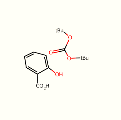 CC(C)(C)OC(=O)OC(C)(C)C.O=C(O)c1ccccc1O